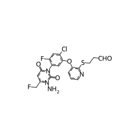 Nn1c(CF)cc(=O)n(-c2cc(Oc3cccnc3SCCC=O)c(Cl)cc2F)c1=O